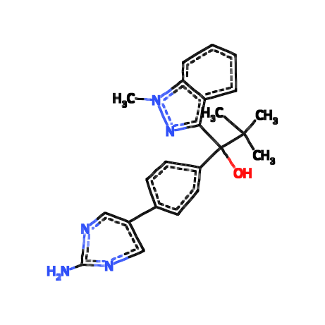 Cn1nc(C(O)(c2ccc(-c3cnc(N)nc3)cc2)C(C)(C)C)c2ccccc21